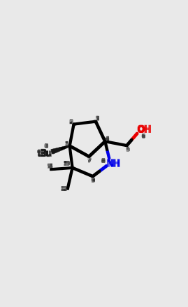 CC(C)(C)[C@@]12CCC(CO)(C1)NCC2(C)C